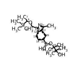 Cc1nn(COC(C)[Si](C)(C)C)c2ccc(B(O)OC(C)(C)C(C)(C)O)cc12